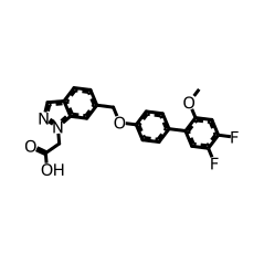 COc1cc(F)c(F)cc1-c1ccc(OCc2ccc3cnn(CC(=O)O)c3c2)cc1